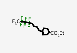 CCOC(=O)C1CC=C(CCCCC(F)(F)C(F)(F)C(F)(F)C(F)(F)F)CC1